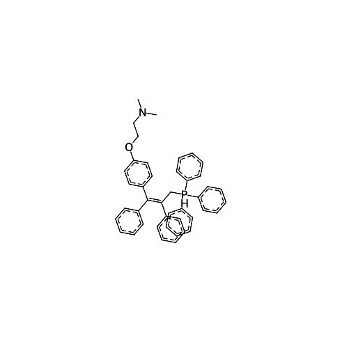 CN(C)CCOc1ccc(C(=C(C[PH](c2ccccc2)(c2ccccc2)c2ccccc2)c2ccccc2)c2ccccc2)cc1